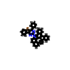 c1ccc(-c2nc(-n3c4ccc5ccccc5c4c4c5c(c6ccccc6c43)-c3ccccc3C53CCCCC3)nc3c2sc2ccccc23)cc1